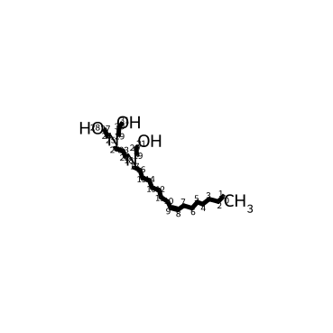 CCCCCCCC/C=C\CCCCCCCCN(CCO)CCCN(CCO)CCO